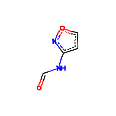 O=CNc1ccon1